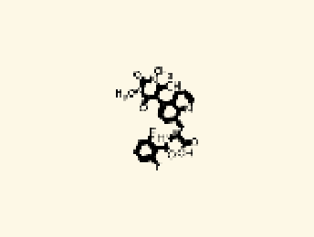 Cc1c(-c2ccc(C[C@H](NC(=O)c3c(F)cccc3F)C(=O)O)c3ncccc23)c(=O)n(C)c(=O)n1C